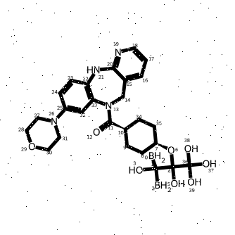 BC(B)(O)C(O)(O[C@H]1CC[C@@H](C(=O)N2Cc3cccnc3Nc3ccc(N4CCOCC4)cc32)CC1)C(O)(O)O